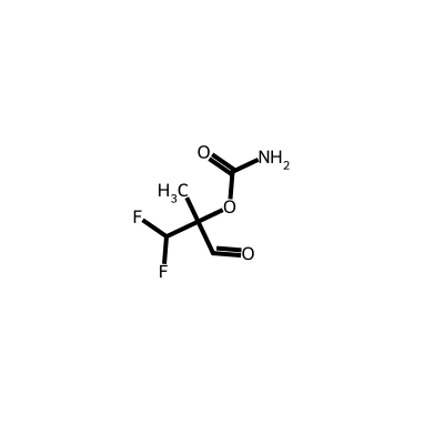 CC(C=O)(OC(N)=O)C(F)F